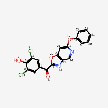 O=C(c1cc(Cl)c(O)c(Cl)c1)c1nc2cnc(Oc3ccccc3)cc2o1